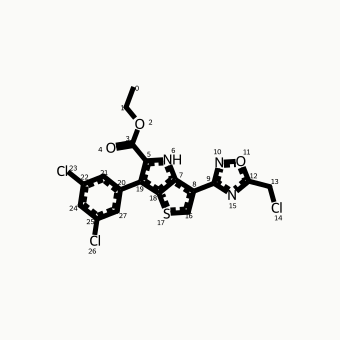 CCOC(=O)c1[nH]c2c(-c3noc(CCl)n3)csc2c1-c1cc(Cl)cc(Cl)c1